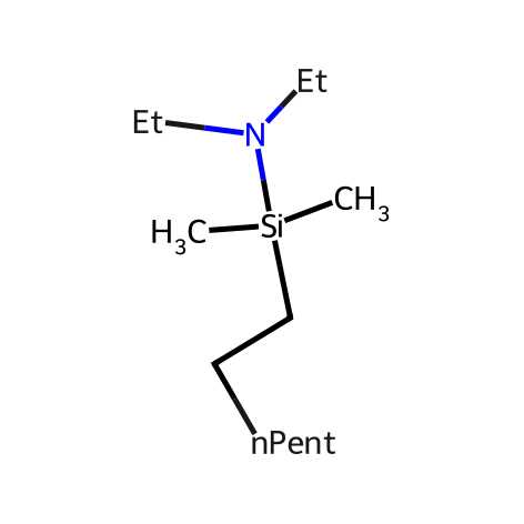 CCCCCCC[Si](C)(C)N(CC)CC